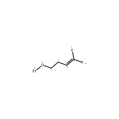 [CH2]COCCC=C(F)F